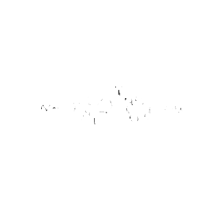 COCC(=O)On1c(=O)c2cc3c(=O)n(OC(=O)COC)c(=O)c3cc2c1=O